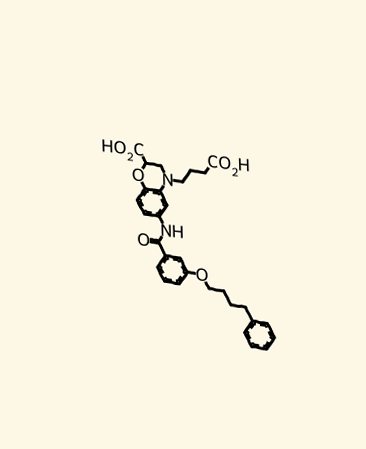 O=C(O)CCCN1CC(C(=O)O)Oc2ccc(NC(=O)c3cccc(OCCCCc4ccccc4)c3)cc21